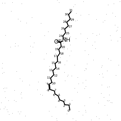 CCCCCCCC/C=C\CCCCCCCCCCCC(=O)NCCCCCCCC